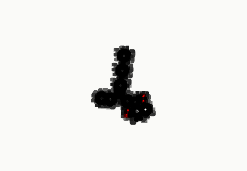 CC1(C)c2ccccc2C2(c3ccccc3-c3cc(N(c4ccc(-c5ccc(-c6ccccc6)cc5)cc4)c4ccc5ccccc5c4)ccc32)c2ccccc21